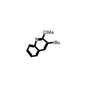 COc1nc2ccccc2cc1C(C)(C)C